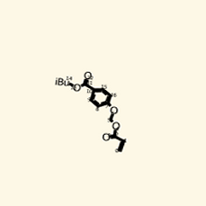 C=CC(=O)OCOc1ccc(C(=O)OC(C)CC)cc1